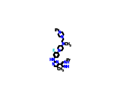 Cc1cnc(Nc2ccc(N3CCC(N(C)CCN4CCN(C(C)C)CC4)CC3)c(F)c2)nc1/C(C=N)=C/NC(C)C